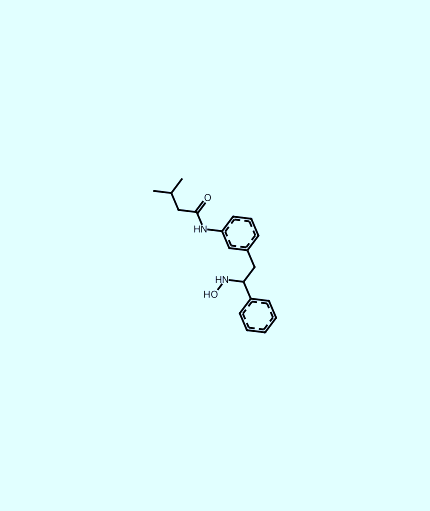 CC(C)CC(=O)Nc1cccc(CC(NO)c2ccccc2)c1